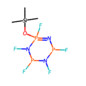 C[Si](C)(C)OP1(F)=NP(F)N(F)P(F)N1F